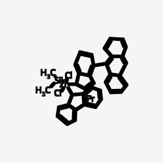 CC(C)C1=Cc2c(-c3c4ccccc4cc4ccccc34)cccc2[CH]1[Zr]([Cl])([Cl])([CH]1c2ccccc2-c2ccccc21)[SiH](C)C